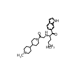 CCCC(NCC(=O)N1CCC(C2CCN(C)CC2)CC1)C(=O)c1ccc2cc[nH]c2c1.Cl